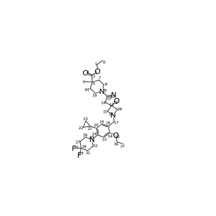 CCOC(=O)C1(C)CCN(C2=NOC3(C2)CN(Cc2cc(C4CC4)c(N4CCC(F)(F)CC4)cc2OCC)C3)CC1